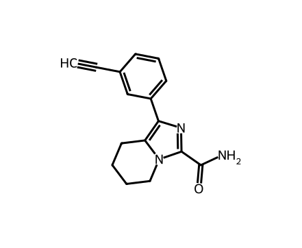 C#Cc1cccc(-c2nc(C(N)=O)n3c2CCCC3)c1